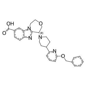 O=C(O)c1ccc2nc3n(c2c1)CCOC[C@@H]3N1CCC(c2cccc(OCc3ccccc3)n2)CC1